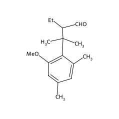 CCC(C=O)C(C)(C)c1c(C)cc(C)cc1OC